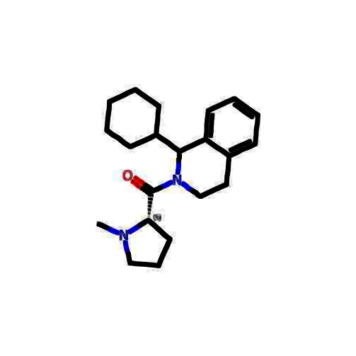 CN1CCC[C@H]1C(=O)N1CCc2ccccc2C1C1CCCCC1